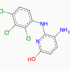 Nc1ccc(O)nc1Nc1ccc(Cl)c(Cl)c1Cl